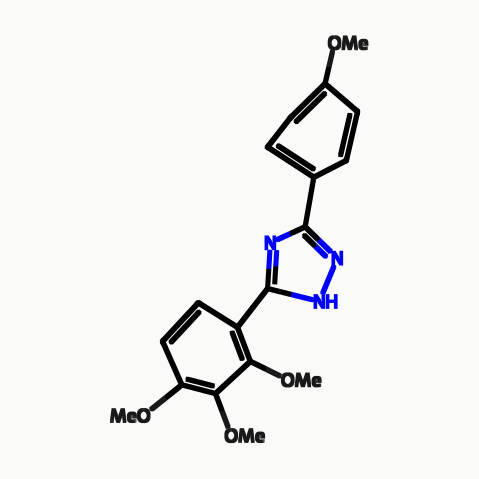 COc1ccc(-c2n[nH]c(-c3ccc(OC)c(OC)c3OC)n2)cc1